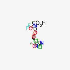 O=C(O)c1cc(OC(F)F)c2cc(OCC34CCC(/C=C/c5c(-c6c(Cl)cncc6Cl)noc5C5CC5)(CC3)CO4)ccc2n1